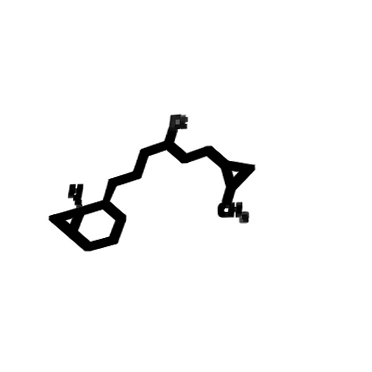 CCC(CCC[C@H]1CCCC2C[C@H]21)CCC1CC1C